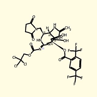 C=C1N[C@H]2[C@H](CN3C(=O)CCC3=O)N/C(=N\C(=O)OCC(Cl)(Cl)Cl)N3C[C@H](OC(=O)c4cc(C(F)(F)F)ccc4C(F)(F)F)C(O)(O)[C@]23N1